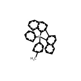 Cc1ccc([Si]2(c3ccccc3)c3c(ccc4ccccc34)-c3ccc4ccccc4c32)cc1